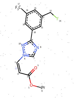 CC(C)OC(=O)/C=C\n1cnc(-c2cc(CF)cc(C(F)(F)F)c2)n1